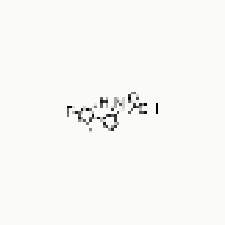 Cc1cc(F)cc(C)c1-c1cccc([C@@H](N)CC(=O)O)c1